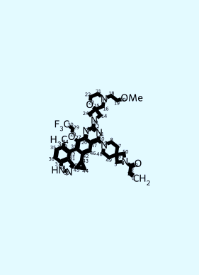 C=CC(=O)N1CC2(CCN(c3nc(N4CC5(CN(CCOC)CCO5)C4)nc4c(OCC(F)(F)F)c(-c5c(C)ccc6[nH]ncc56)c(C5CC5)cc34)CC2)C1